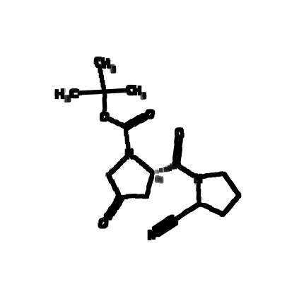 CC(C)(C)OC(=O)N1CC(=O)C[C@H]1C(=O)N1CCCC1C#N